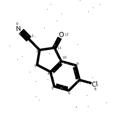 N#CC1Cc2ccc(Cl)cc2C1=O